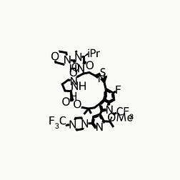 CO[C@@H](C)c1ncc(N2CCN(CC(F)(F)F)CC2)cc1-c1c2c3cc(c(F)cc3n1CC(F)(F)F)-c1csc(n1)C[C@H](NC(=O)[C@H](C(C)C)N(C)C(=O)N1CCOCC1)C(=O)N1CCC[C@H](N1)C(=O)OCC(C)(C)C2